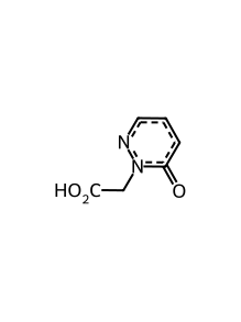 O=C(O)Cn1ncccc1=O